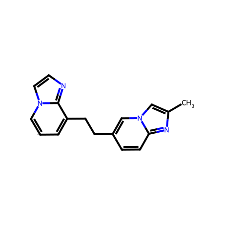 Cc1cn2cc(CCc3c[c]cn4ccnc34)ccc2n1